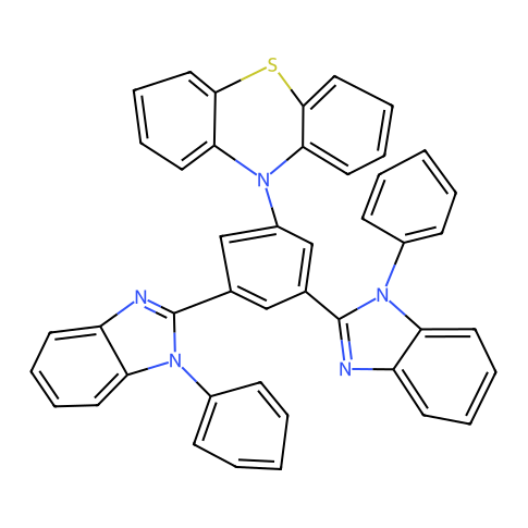 c1ccc(-n2c(-c3cc(-c4nc5ccccc5n4-c4ccccc4)cc(N4c5ccccc5Sc5ccccc54)c3)nc3ccccc32)cc1